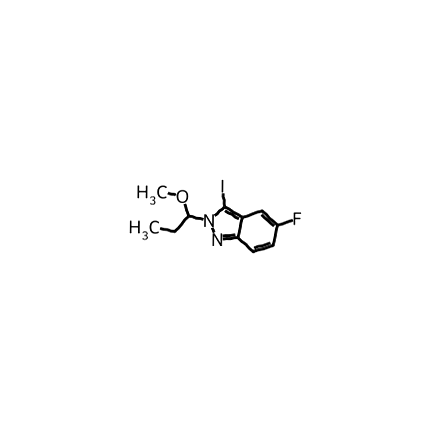 CCC(OC)n1nc2ccc(F)cc2c1I